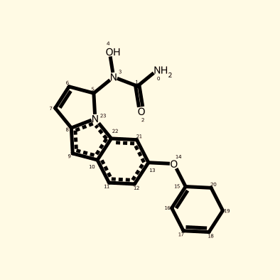 NC(=O)N(O)C1C=Cc2cc3ccc(OC4=CC=CCC4)cc3n21